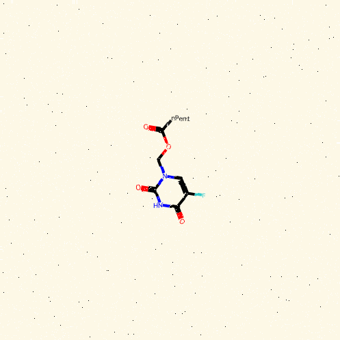 CCCCCC(=O)OCn1cc(F)c(=O)[nH]c1=O